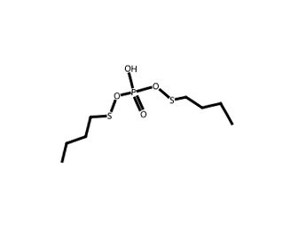 CCCCSOP(=O)(O)OSCCCC